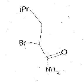 CC(C)CC(Br)C(N)=O